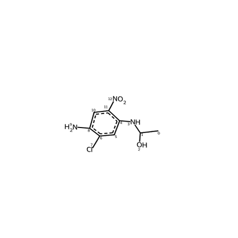 CC(O)Nc1cc(Cl)c(N)cc1[N+](=O)[O-]